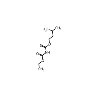 CCOC(=O)NC(=S)OCCC(C)C